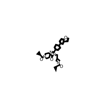 O=C(C1CC1)N1CCC2(CC1)N=C(c1ccc(-c3ccc4occc4c3)cc1)N(CC1CN(C(=O)C3CC3)C1)C2=O